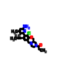 C=CC(=O)N1CCN2Cc3cc(C#CC)c(-c4nc(N)cc(C)c4C(F)(F)F)c(Cl)c3OCC2C1